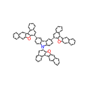 c1ccc2cc3c(cc2c1)oc1c(-c2ccc4c(c2)c2cc(-c5cc6ccccc6c6c5oc5cc7ccccc7cc56)ccc2n4-c2cc4ccccc4c4c2oc2cc5ccccc5cc24)cc2ccccc2c13